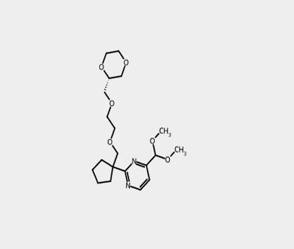 COC(OC)c1ccnc(C2(COCCOC[C@H]3COCCO3)CCCC2)n1